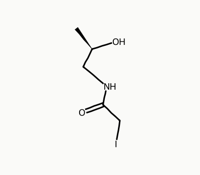 C[C@@H](O)CNC(=O)CI